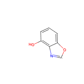 Oc1cccc2o[c]nc12